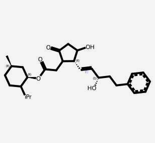 CC(C)C1CC[C@@H](C)C[C@H]1OC(=O)CC1C(=O)CC(O)[C@@H]1/C=C/[C@@H](O)CCc1ccccc1